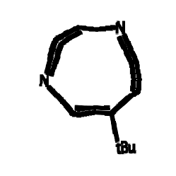 CC(C)(C)/C1=C/N=C=CN=C=C1